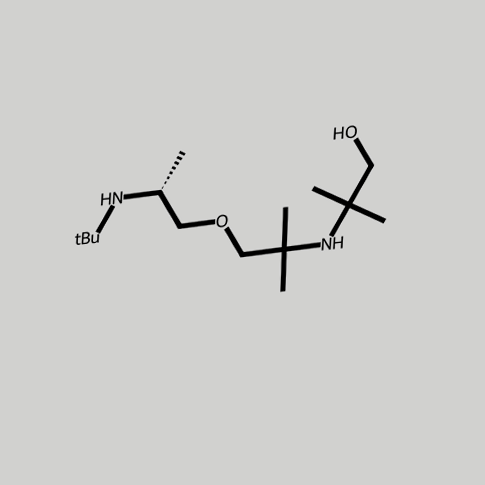 C[C@H](COCC(C)(C)NC(C)(C)CO)NC(C)(C)C